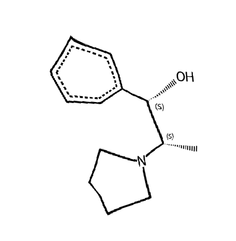 C[C@@H]([C@@H](O)c1ccccc1)N1CCCC1